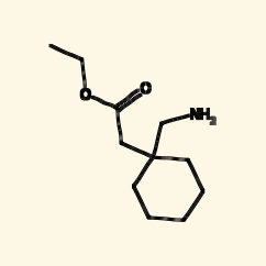 CCOC(=O)CC1(CN)CCCCC1